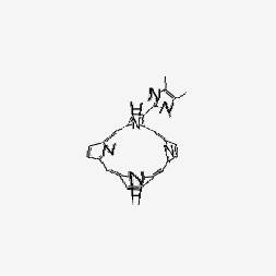 Cc1nc(-c2cc3cc4nc(cc5ccc(cc6nc(cc2[nH]3)C=C6)[nH]5)C=C4)n(C)c1C